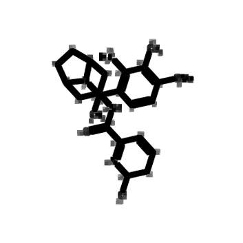 COc1ccc(C(C)N2C3CCC2CC(NC(=O)C2=NC(Cl)CC=C2)C3)c(C)c1C